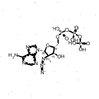 C[C@@]1(N=[N+]=[N-])[C@H](O)[C@@H](COP(=O)(O)OP(=O)(O)OP(=O)(O)O)O[C@H]1n1cnc2c(N)ncnc21